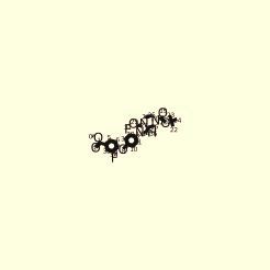 COC(=O)c1ccc(Oc2ccc(N3C[C@@H]4CN(C(=O)OC(C)(C)C)CCN4C3=O)c(F)c2)c(F)c1